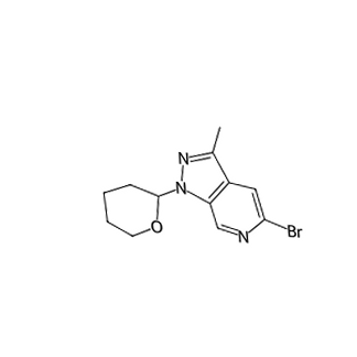 Cc1nn(C2CCCCO2)c2cnc(Br)cc12